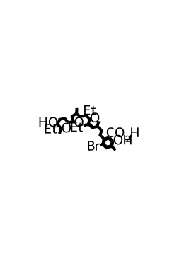 CCC(C(=O)C(C)=CC(C)CCc1c(Br)cc(C)c(O)c1C(=O)O)C1OC(CC)(C2CCC(O)(CC)C(C)O2)CC1C